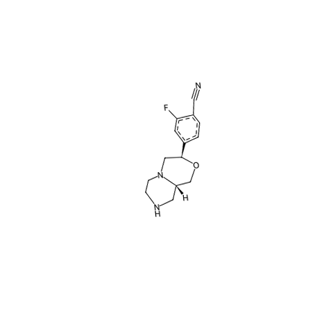 N#Cc1ccc([C@@H]2CN3CCNC[C@H]3CO2)cc1F